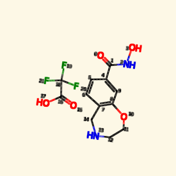 O=C(NO)c1ccc2c(c1)OCCNC2.O=C(O)C(F)(F)F